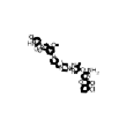 COc1cc(N2CCC(CN3CCN(c4ncc(Oc5cc6oc7cccc(Cl)c7c(=O)c6nc5N)c(C)n4)C[C@@H]3C)CC2)cc2c1CN(C1CCC(=O)NC1=O)C2=O